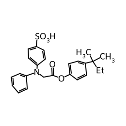 CCC(C)(C)c1ccc(OC(=O)CN(c2ccccc2)c2ccc(S(=O)(=O)O)cc2)cc1